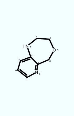 c1cnc2c(c1)NCCOC2